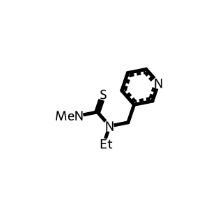 CCN(Cc1cccnc1)C(=S)NC